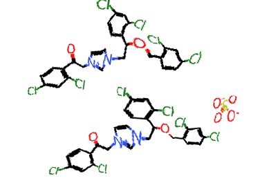 O=C(C[n+]1ccn(CC(OCc2ccc(Cl)cc2Cl)c2ccc(Cl)cc2Cl)c1)c1ccc(Cl)cc1Cl.O=C(C[n+]1ccn(CC(OCc2ccc(Cl)cc2Cl)c2ccc(Cl)cc2Cl)c1)c1ccc(Cl)cc1Cl.O=S(=O)([O-])[O-]